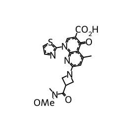 CON(C)C(=O)C1CN(c2cc(C)c3c(=O)c(C(=O)O)cn(-c4nccs4)c3n2)C1